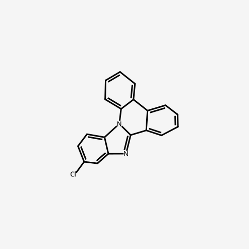 Clc1ccc2c(c1)nc1c3ccccc3c3ccccc3n21